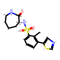 Cc1c(-c2cncs2)cccc1S(=O)(=O)N[C@@H]1CCCCNC1=O